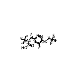 Cc1cc([C@@H](C)N(S(=O)O)C(C)(C)C)nnc1OCC(F)(F)F